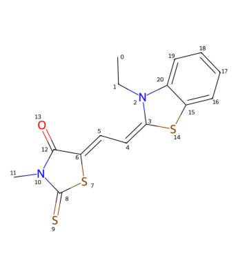 CCN1C(=CC=C2SC(=S)N(C)C2=O)Sc2ccccc21